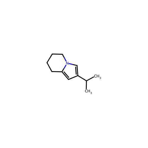 CC(C)c1cc2n(c1)CCCC2